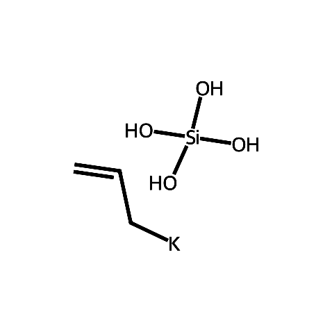 C=C[CH2][K].O[Si](O)(O)O